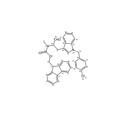 CN(C(=O)OCC1c2ccccc2-c2ccccc21)C(C=O)Cc1cn(Cc2ccc(C(F)(F)F)cc2)c2ccccc12